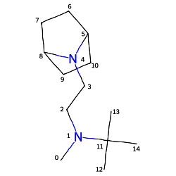 CN(CCN1C2CCC1CC2)C(C)(C)C